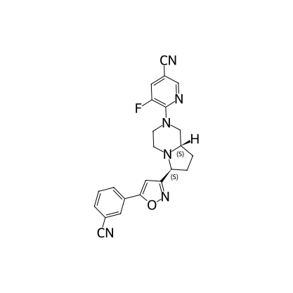 N#Cc1cccc(-c2cc([C@@H]3CC[C@H]4CN(c5ncc(C#N)cc5F)CCN43)no2)c1